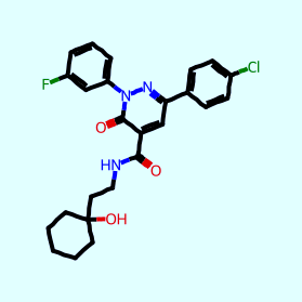 O=C(NCCC1(O)CCCCC1)c1cc(-c2ccc(Cl)cc2)nn(-c2cccc(F)c2)c1=O